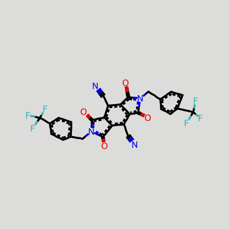 N#Cc1c2c(=O)n(Cc3ccc(C(F)(F)F)cc3)c(=O)c2c(C#N)c2c(=O)n(Cc3ccc(C(F)(F)F)cc3)c(=O)c12